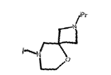 CC(C)N1CC2(CN(I)CCO2)C1